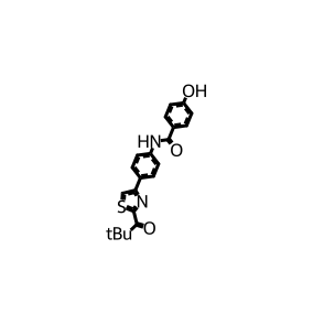 CC(C)(C)C(=O)c1nc(-c2ccc(NC(=O)c3ccc(O)cc3)cc2)cs1